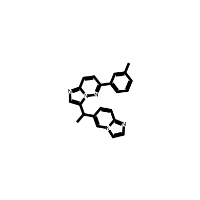 Cc1cccc(-c2ccc3ncc(C(C)c4ccc5nccn5c4)n3n2)c1